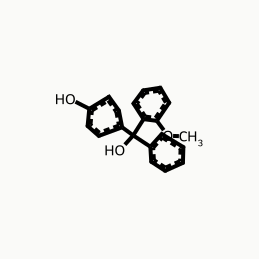 COc1ccccc1C(O)(c1ccccc1)c1ccc(O)cc1